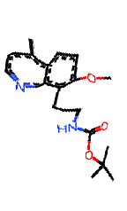 COc1ccc2c(C)ccnc2c1CCNC(=O)OC(C)(C)C